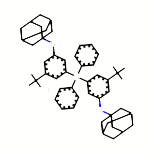 CC(C)(C)c1cc(NC23CC4CC(CC(C4)C2)C3)cc([Si](c2ccccc2)(c2ccccc2)c2cc(NC34CC5CC(CC(C5)C3)C4)cc(C(C)(C)C)c2)c1